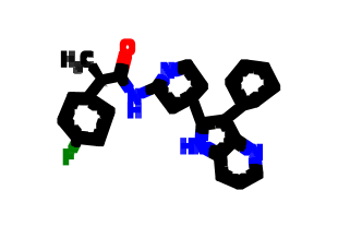 C[C@@H](C(=O)Nc1cc(-c2[nH]c3cccnc3c2-c2ccccc2)ccn1)c1ccc(F)cc1